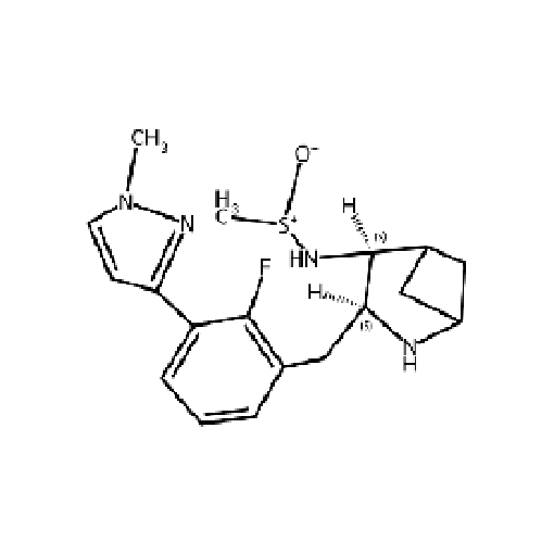 Cn1ccc(-c2cccc(C[C@@H]3NC4CC(C4)[C@@H]3N[S+](C)[O-])c2F)n1